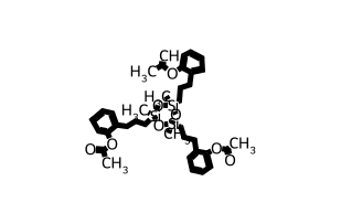 C=C(C)Oc1ccccc1CCC[Si]1(C)O[Si](C)(CCCc2ccccc2OC(C)=O)O[Si](C)(CCCc2ccccc2OC(C)=O)O1